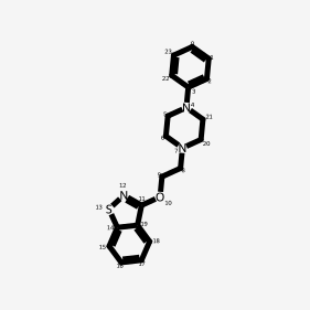 c1ccc(N2CCN(CCOc3nsc4ccccc34)CC2)cc1